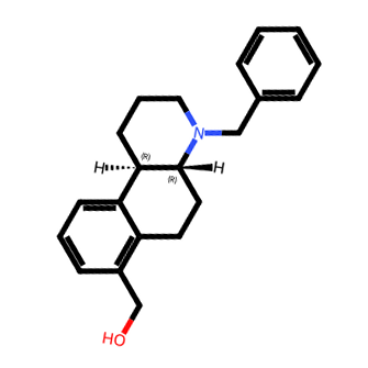 OCc1cccc2c1CC[C@@H]1[C@@H]2CCCN1Cc1ccccc1